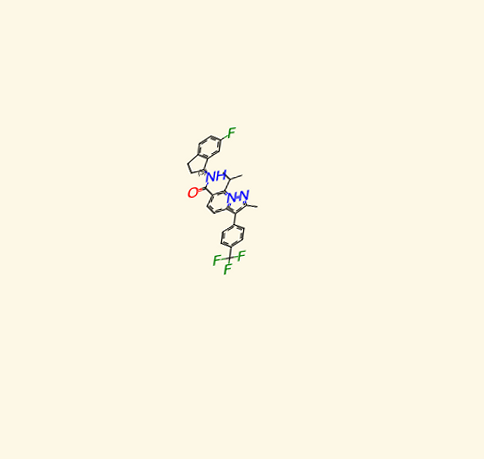 Cc1nn2c(C(C)C)c(C(=O)N[C@H]3CCc4ccc(F)cc43)ccc2c1-c1ccc(C(F)(F)F)cc1